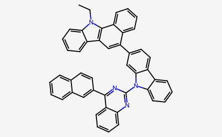 CCn1c2ccccc2c2cc(-c3ccc4c5ccccc5n(-c5nc(-c6ccc7ccccc7c6)c6ccccc6n5)c4c3)c3ccccc3c21